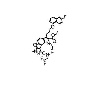 CCOC(=O)c1c(CCCOc2cccc3cc(F)ccc23)c2ccc(Cl)c3c2n1CCCCN(CC(F)F)Cc1nn(C)c(C)c1-3